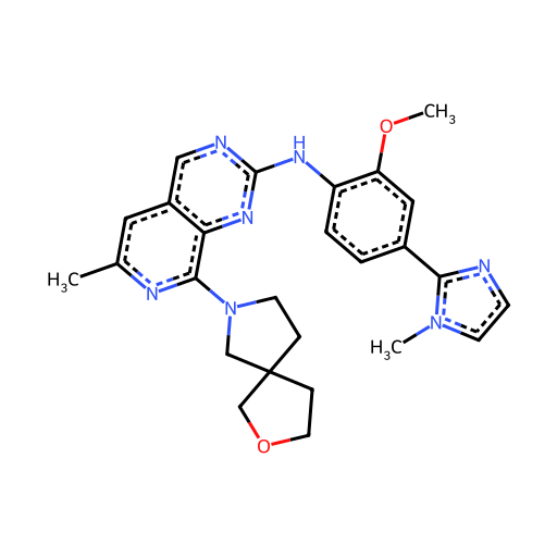 COc1cc(-c2nccn2C)ccc1Nc1ncc2cc(C)nc(N3CCC4(CCOC4)C3)c2n1